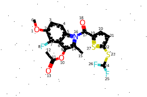 COc1ccc2c(c1F)c(OC(C)=O)c(C)n2C(=O)c1ccc(SC(F)F)s1